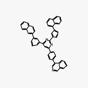 c1cc(-c2ccc3ccccc3c2)cc(-c2cc(-c3ccc(-c4cncc5ccccc45)cc3)nc(-c3cccc(-c4cccc5ccccc45)c3)n2)c1